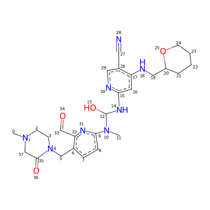 CN1CCN(Cc2ccc(N(C)C(O)Nc3cc(NCC4CCCCO4)c(C#N)cn3)nc2C=O)C(=O)C1